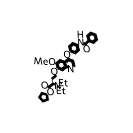 CCN(CC)[C@@H](CCOc1cc2nccc(Oc3ccc(NC(=O)c4ccccc4)cc3)c2cc1OC)C(=O)OC1CCCC1